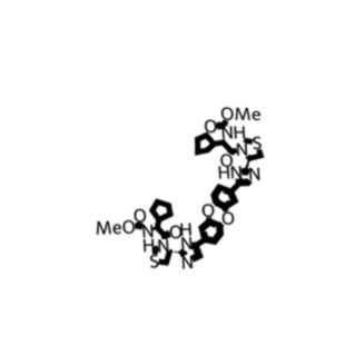 COC(=O)N[C@H](C(=O)N1CSC[C@H]1c1ncc(-c2ccc3c(c2)Oc2ccc(-c4cnc([C@@H]5CSCN5C(=O)[C@@H](NC(=O)OC)C5CCCC5)[nH]4)cc2O3)[nH]1)C1CCCC1